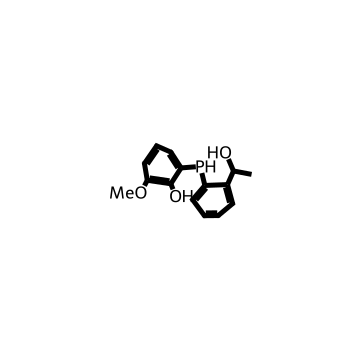 COc1cccc(Pc2ccccc2C(C)O)c1O